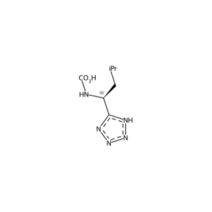 CC(C)C[C@H](NC(=O)O)c1nnn[nH]1